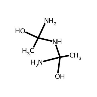 CC(N)(O)NC(C)(N)O